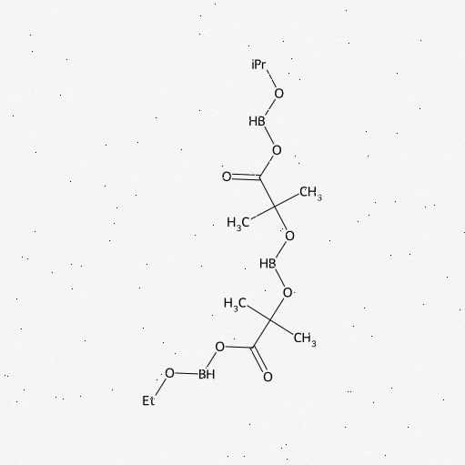 CCOBOC(=O)C(C)(C)OBOC(C)(C)C(=O)OBOC(C)C